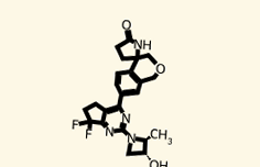 C[C@H]1[C@H](O)CN1c1nc(-c2ccc3c(c2)COCC32CCC(=O)N2)c2c(n1)C(F)(F)CC2